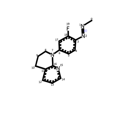 C/N=N/c1ccc(N2CCCc3cccnc32)cc1F